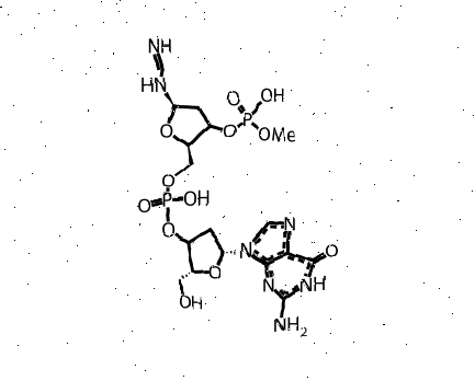 COP(=O)(O)OC1C[C@H](NC=N)O[C@@H]1COP(=O)(O)OC1C[C@H](n2cnc3c(=O)[nH]c(N)nc32)O[C@@H]1CO